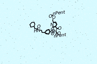 CCCCCC(=O)OCc1ccc(C(=O)N(C(=O)CCCCC)S(=O)(=O)c2ccc(CCNC(=O)CC3CCCCC3)cc2)cn1